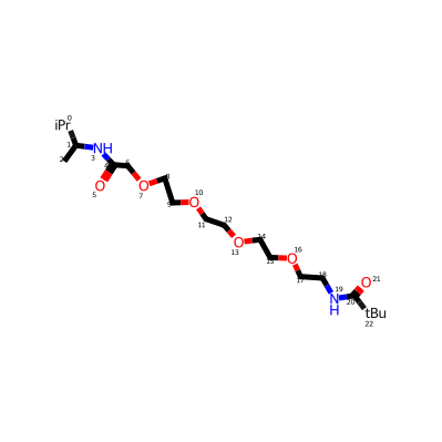 CC(C)C(C)NC(=O)COCCOCCOCCOCCNC(=O)C(C)(C)C